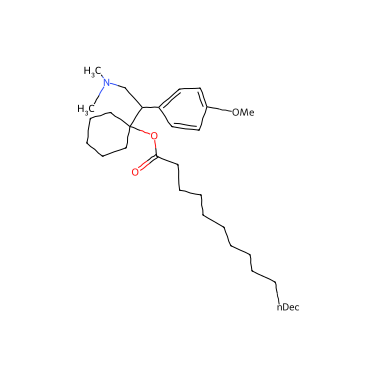 CCCCCCCCCCCCCCCCCCCC(=O)OC1(C(CN(C)C)c2ccc(OC)cc2)CCCCC1